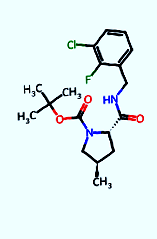 C[C@@H]1C[C@@H](C(=O)NCc2cccc(Cl)c2F)N(C(=O)OC(C)(C)C)C1